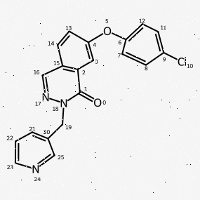 O=c1c2cc(Oc3ccc(Cl)cc3)ccc2cnn1Cc1cccnc1